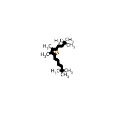 Cc1c(/C=C/C=C/C(C)(C)C)sc(/C=C/C(C)(C)C)c1C